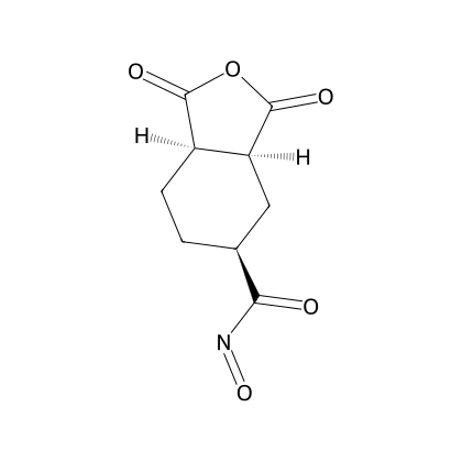 O=NC(=O)[C@H]1CC[C@H]2C(=O)OC(=O)[C@H]2C1